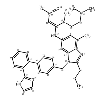 CCCc1nc2c(C)cc(NC(=C[N+](=O)[O-])N(C)CCN(C)C)cc2n1Cc1ccc(-c2ccccc2-c2nnn[nH]2)cc1